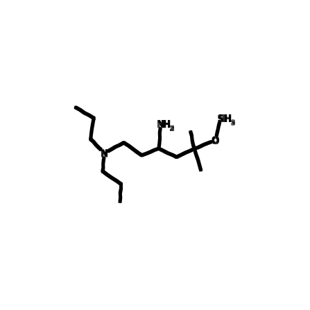 CCCN(CCC)CCC(N)CC(C)(C)O[SiH3]